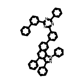 c1ccc(-c2cccc(-c3nc(-c4ccccc4)nc(-c4cccc(-c5ccc6cc(-c7ccccc7)c7c(-c8ccccc8)nn(-c8ccccc8)c7c6c5)c4)n3)c2)cc1